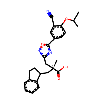 CC(C)Oc1ccc(-c2nc(C[C@@](C)(CC3CCc4ccccc43)C(=O)O)no2)cc1C#N